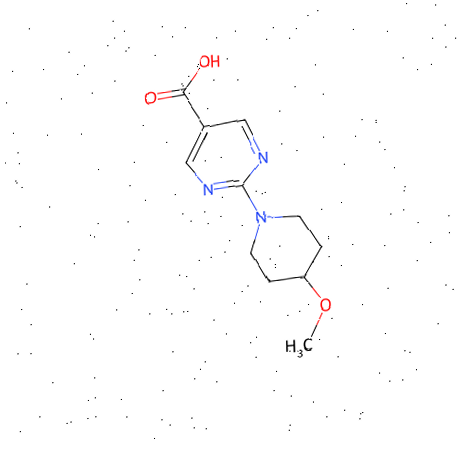 COC1CCN(c2ncc(C(=O)O)cn2)CC1